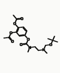 CC(=O)Oc1ccc(OC(=O)N(C)CCN(C)COC(C)(C)C)cc1OC(C)=O